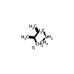 C=CC(=C)C.C[SiH2]C.[Ti]